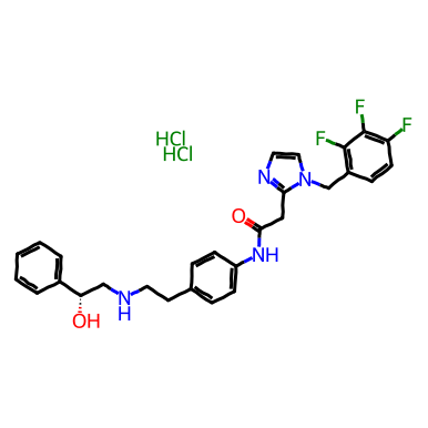 Cl.Cl.O=C(Cc1nccn1Cc1ccc(F)c(F)c1F)Nc1ccc(CCNC[C@H](O)c2ccccc2)cc1